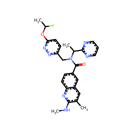 CNc1nc2ccc(C(=O)N(Cc3ccc(OC(C)F)nn3)C(C)c3ncccn3)cc2cc1C